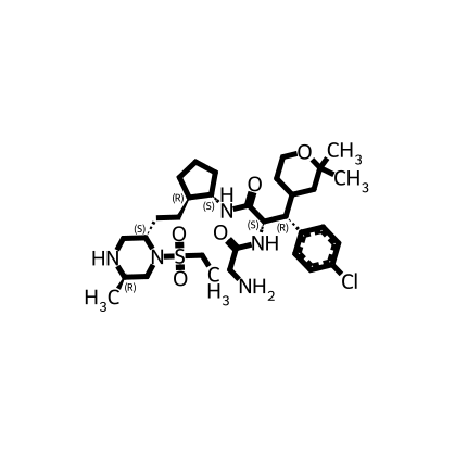 CCS(=O)(=O)N1C[C@@H](C)NC[C@@H]1CC[C@H]1CCC[C@@H]1NC(=O)[C@@H](NC(=O)CN)[C@@H](c1ccc(Cl)cc1)C1CCOC(C)(C)C1